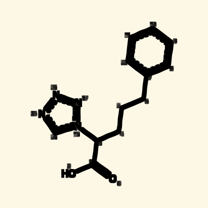 O=C(O)C(CCCc1ccccc1)n1cnnn1